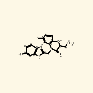 Cc1ccc2c(c1)N(Cc1nc3ccc(F)cc3s1)C(=O)C(CC(=O)O)O2